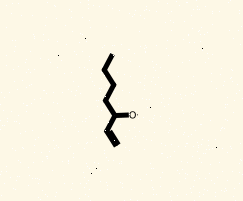 C=CC([O])CCCC